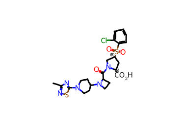 Cc1nsc(N2CCC(N3CCC3C(=O)N3C[C@H](S(=O)(=O)c4ccccc4Cl)C[C@H]3C(=O)O)CC2)n1